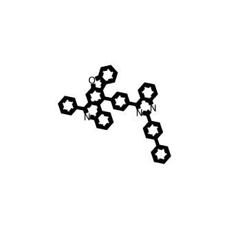 c1ccc(-c2ccc(-c3nc(-c4ccc(-c5c6c(cc7c(-c8ccccc8)nc8ccccc8c57)oc5ccccc56)cc4)c4ccccc4n3)cc2)cc1